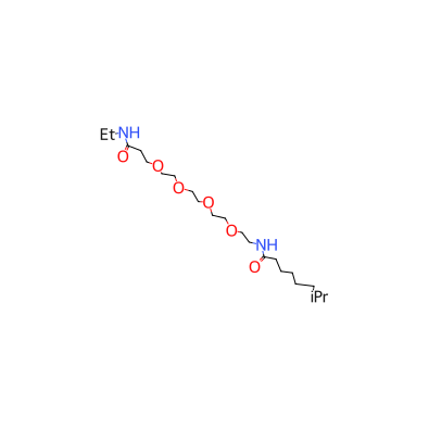 CCNC(=O)CCOCCOCCOCCOCCNC(=O)CCCCCC(C)C